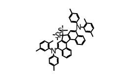 Cc1ccc(N(c2cc(C)ccc2C)c2cc3c(c4ccccc24)-c2c(cc(N(c4ccc(C)cc4)c4cc(C)ccc4C)c4ccccc24)C3([Si](C)(C)C)[Si](C)(C)C)cc1